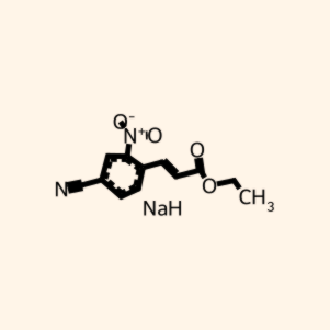 CCOC(=O)C=Cc1ccc(C#N)cc1[N+](=O)[O-].[NaH]